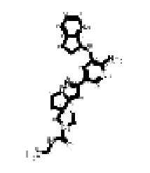 CCNC(=O)N1CC[C@@]2(CCn3nc(-c4cnc(N)c(OC5CCc6cccnc65)c4)cc32)C1